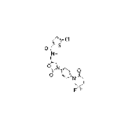 O=C(NC[C@H]1CN(c2ccc(N3CC(F)(F)CCC3=O)cc2)C(=O)O1)c1ccc(Cl)s1